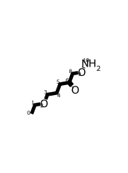 CCOCCCC(=O)CON